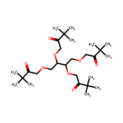 CC(C)(C)C(=O)COCC(OCC(=O)C(C)(C)C)C(COCC(=O)C(C)(C)C)OCC(=O)C(C)(C)C